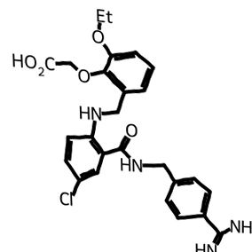 CCOc1cccc(CNc2ccc(Cl)cc2C(=O)NCc2ccc(C(=N)N)cc2)c1OCC(=O)O